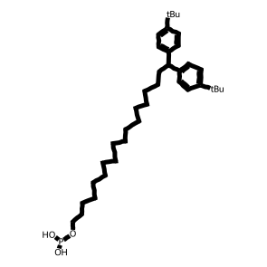 CC(C)(C)c1ccc(C(CCCCCCCCCCCCCCCCCOP(O)O)c2ccc(C(C)(C)C)cc2)cc1